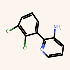 Nc1cccnc1-c1cccc(Cl)c1Cl